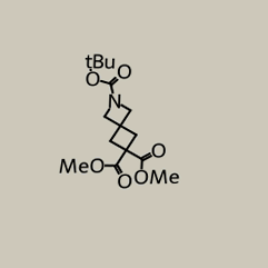 COC(=O)C1(C(=O)OC)CC2(CN(C(=O)OC(C)(C)C)C2)C1